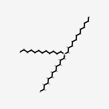 CCCCCCCCCCC[CH2][V]([CH2]CCCCCCCCCCC)[CH2]CCCCCCCCCCC